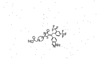 O=C(O)CN1CCN(C2=NC(=O)C(=C(Cc3ccc(C(F)(F)F)cc3C(F)(F)F)c3ccc4[nH]ncc4c3)S2)CC1